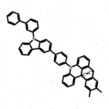 Cc1cc2c(cc1C)C13CCC2c2cccc(c21)N(c1ccc(-c2ccc4c(c2)c2ccccc2n4-c2cccc(-c4ccccc4)c2)cc1)c1ccccc13